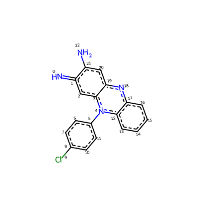 N=c1cc2n(-c3ccc(Cl)cc3)c3ccccc3nc-2cc1N